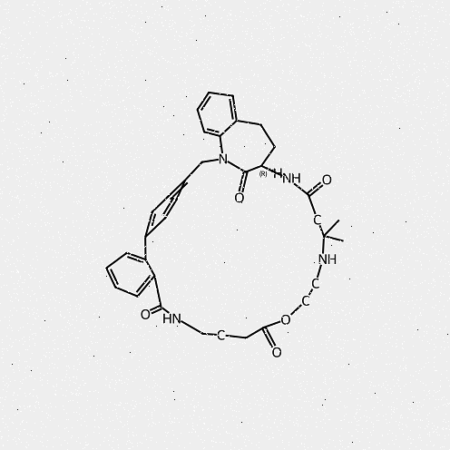 CC1(C)CC(=O)N[C@@H]2CCc3ccccc3N(Cc3ccc(cc3)-c3ccccc3C(=O)NCCCC(=O)OCCN1)C2=O